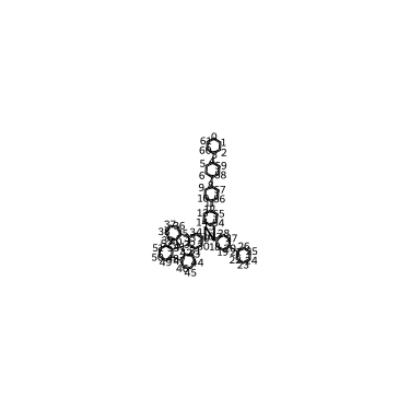 c1ccc(-c2ccc(-c3ccc(-c4ccc(N(c5ccc(-c6ccccc6)cc5)c5ccc6c(c5)-c5ccccc5C65c6ccccc6-c6ccccc65)cc4)cc3)cc2)cc1